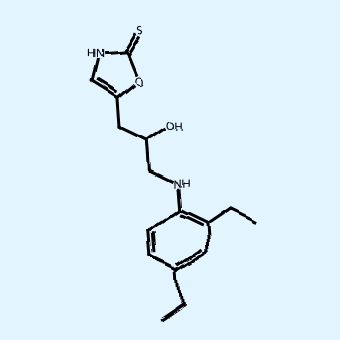 CCc1ccc(NCC(O)Cc2c[nH]c(=S)o2)c(CC)c1